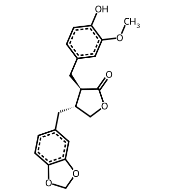 COc1cc(C[C@H]2C(=O)OC[C@@H]2Cc2ccc3c(c2)OCO3)ccc1O